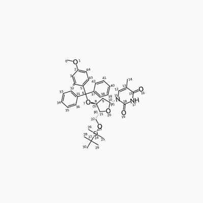 COc1ccc(C(O[C@H]2C[C@H](n3cc(C)c(=O)[nH]c3=O)O[C@@H]2CO[Si](C)(C)C(C)(C)C)(c2ccccc2)c2ccccc2)cc1